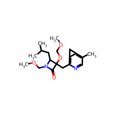 COCOC1(Cc2ncc(C)c3c2C3)C(=O)N(COC)C1CC(C)C